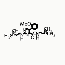 COc1ccccc1-c1cnc(NCCN(C)C)nc1C(=O)ONCCN(C)C